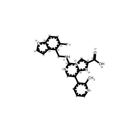 Cc1ncccc1-c1cnc(NCc2c(F)ccc3occc23)n2cc(C(=O)O)nc12